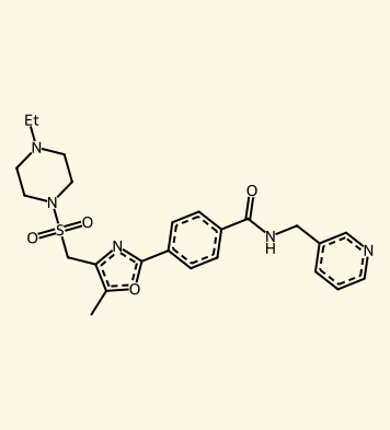 CCN1CCN(S(=O)(=O)Cc2nc(-c3ccc(C(=O)NCc4cccnc4)cc3)oc2C)CC1